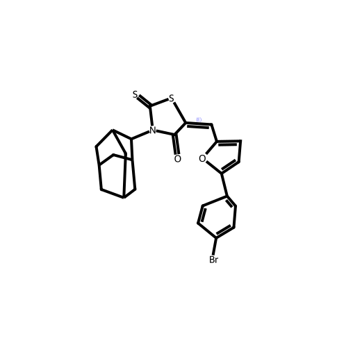 O=C1/C(=C\c2ccc(-c3ccc(Br)cc3)o2)SC(=S)N1C1C2CC3CC(C2)CC1C3